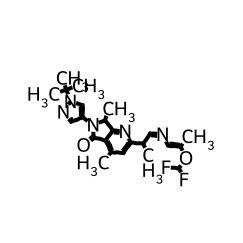 C/C(=C\N=C/C(C)c1cc(C)c2c(n1)C(C)N(c1cnn(C(C)(C)C)c1)C2=O)OC(F)F